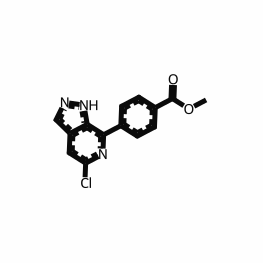 COC(=O)c1ccc(-c2nc(Cl)cc3cn[nH]c23)cc1